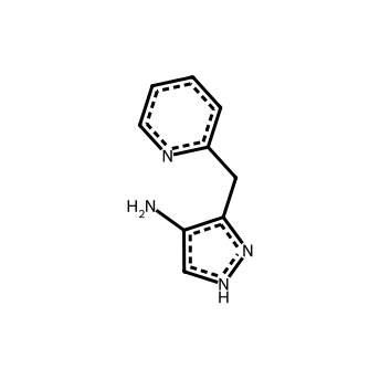 Nc1c[nH]nc1Cc1ccccn1